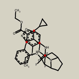 CCOC(=O)c1ccc(NC(=O)N2C3CCC2CC(NCc2c(-c4ccccc4OC(F)(F)F)noc2C2CC2)C3)c(OCC)c1